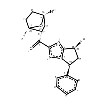 O=C(c1nc2n(n1)[C@H](c1ccccc1)C[C@@H]2F)[C@H]1C[C@@H]2CC[C@H]1O2